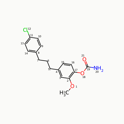 COc1cc([CH]CCc2ccc(Cl)cc2)ccc1OC(N)=O